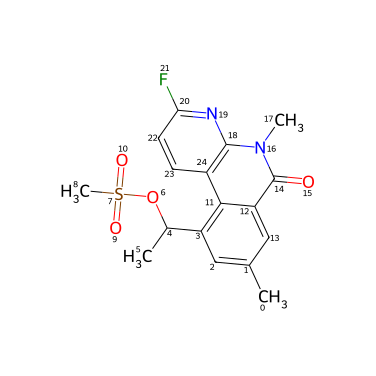 Cc1cc(C(C)OS(C)(=O)=O)c2c(c1)c(=O)n(C)c1nc(F)ccc21